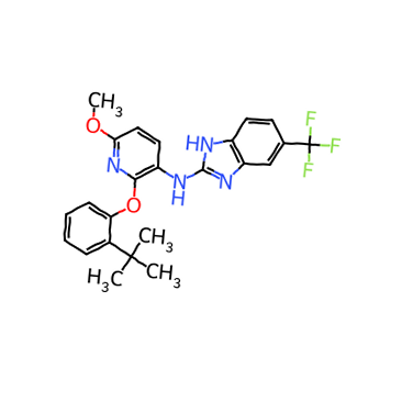 COc1ccc(Nc2nc3cc(C(F)(F)F)ccc3[nH]2)c(Oc2ccccc2C(C)(C)C)n1